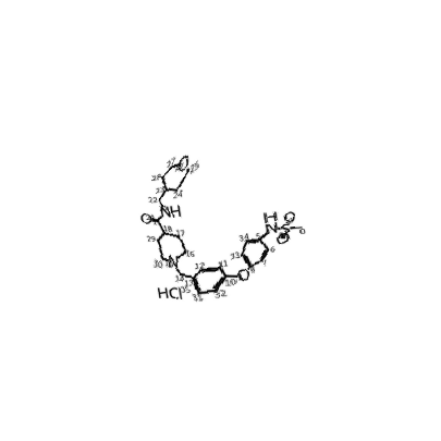 CS(=O)(=O)Nc1ccc(Oc2ccc(CN3CCC(C(=O)NCC4CCOCC4)CC3)cc2)cc1.Cl